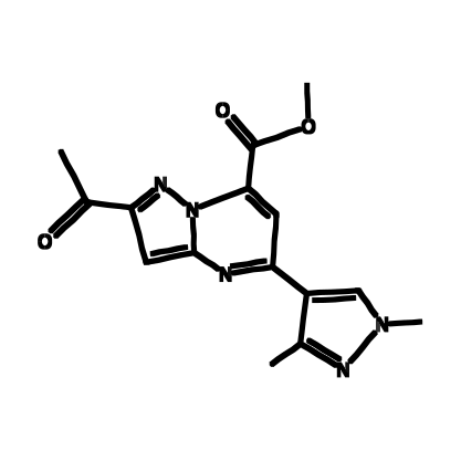 COC(=O)c1cc(-c2cn(C)nc2C)nc2cc(C(C)=O)nn12